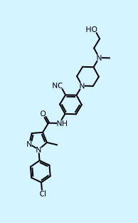 Cc1c(C(=O)Nc2ccc(N3CCC(N(C)CCO)CC3)c(C#N)c2)cnn1-c1ccc(Cl)cc1